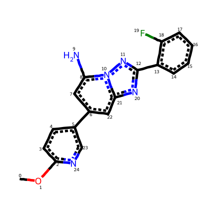 COc1ccc(-c2cc(N)n3nc(-c4ccccc4F)nc3c2)cn1